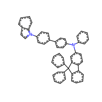 c1ccc(N(c2ccc(-c3ccc(-n4ccc5ccccc54)cc3)cc2)c2ccc3c(c2)C(c2ccccc2)(c2ccccc2)c2ccccc2-3)cc1